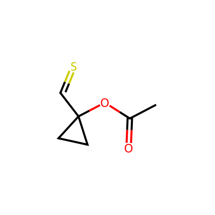 CC(=O)OC1(C=S)CC1